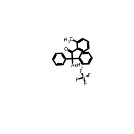 Cc1ccccc1C(=O)C([AsH3+])(c1ccccc1)c1ccccc1.F[B-](F)(F)F